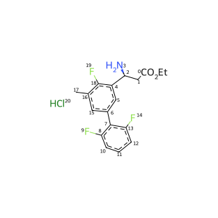 CCOC(=O)C[C@H](N)c1cc(-c2c(F)cccc2F)cc(C)c1F.Cl